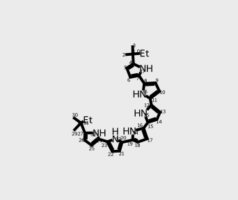 CCC(C)(C)c1ccc(-c2ccc(-c3ccc(-c4ccc(-c5ccc(-c6ccc(C(C)(C)CC)[nH]6)[nH]5)[nH]4)[nH]3)[nH]2)[nH]1